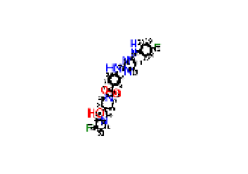 O=S(=O)(c1ccc(Nc2nccc(Nc3ccc(F)cc3)n2)cc1)N1CCC(O)(CN2CC[C@H](F)C2)CC1